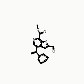 C=C(c1ccccc1)c1cnc(C(=O)OC)c2sc(C=O)cc12